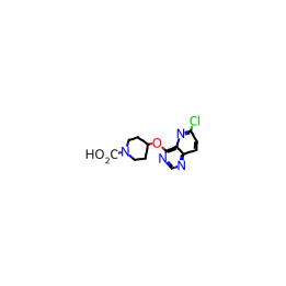 O=C(O)N1CCC(Oc2ncnc3ccc(Cl)nc23)CC1